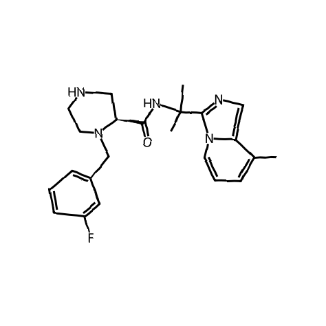 Cc1cccn2c(C(C)(C)NC(=O)[C@@H]3CNCCN3Cc3cccc(F)c3)ncc12